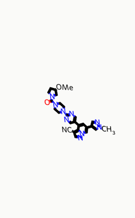 COC1CCN(C(=O)N2CCN(c3ncc(-c4cc(-c5cnn(C)c5)cn5ncc(C#N)c45)cn3)CC2)C1